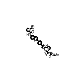 COC(=O)N[C@H](C(=O)N1CCCC1c1ncc(-c2ccc(-c3ccc4cc(NC(=O)C5CCCN5C(=O)C(C)C)ccc4n3)cc2)[nH]1)C(C)C